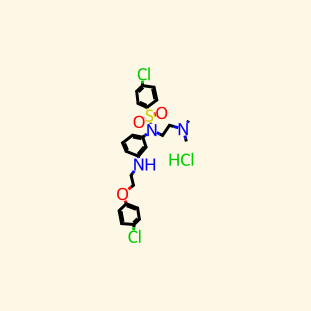 CN(C)CCN(c1cccc(NCCOc2ccc(Cl)cc2)c1)S(=O)(=O)c1ccc(Cl)cc1.Cl